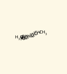 CCCC1CCC(c2ccc(CCc3ccc(OC(C)(F)F)cc3)cc2)CC1